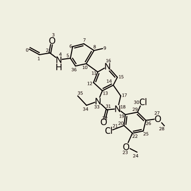 C=CC(=O)Nc1ccc(C)c(-c2cc3c(cn2)CN(c2c(Cl)c(OC)cc(OC)c2Cl)C(=O)N3CC)c1